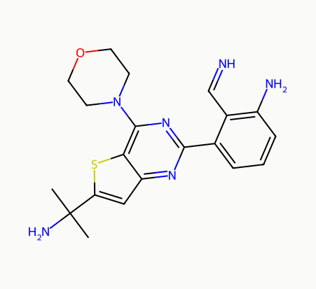 CC(C)(N)c1cc2nc(-c3cccc(N)c3C=N)nc(N3CCOCC3)c2s1